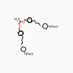 CCCCC[C@H]1CC[C@H](CCCCc2ccc(COC[C@@H](C)OCc3ccc(CCCC[C@H]4CC[C@H](CCCCC)CC4)cc3)cc2)CC1